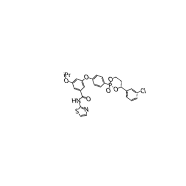 CC(C)Oc1cc(Oc2ccc(P3(=O)OCCC(c4cccc(Cl)c4)O3)cc2)cc(C(=O)Nc2nccs2)c1